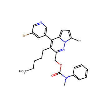 CCc1ccc2c(-c3cncc(Br)c3)c(CCCCC(=O)O)c(COC(=O)N(C)c3ccccc3)nn12